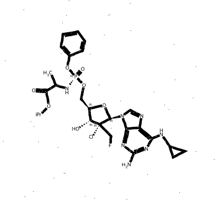 CC(C)OC(=O)C(C)N[P@](=O)(OC[C@H]1O[C@@H](n2cnc3c(NC4CC4)nc(N)nc32)[C@@](Cl)(CF)[C@@H]1O)Oc1ccccc1